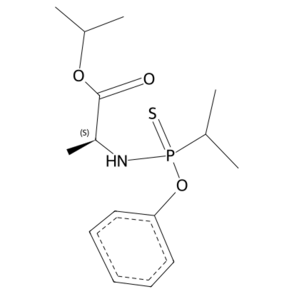 CC(C)OC(=O)[C@H](C)NP(=S)(Oc1ccccc1)C(C)C